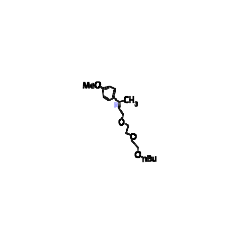 CCCCOCCOCCOC/C=C(\C)c1ccc(OC)cc1